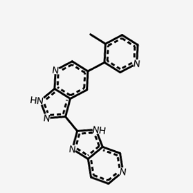 Cc1ccncc1-c1cnc2[nH]nc(-c3nc4ccncc4[nH]3)c2c1